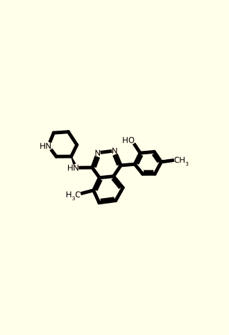 Cc1ccc(-c2nnc(N[C@@H]3CCCNC3)c3c(C)cccc23)c(O)c1